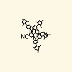 Cc1cc(C)c(-c2ccc3c(c2)c2cc(-c4c(C)cc(C)cc4C)ccc2n3-c2cc(C#N)cc(-n3c4ccc(-c5c(C)cc(C)cc5C)cc4c4cc(-c5c(C)cc(C)cc5C)ccc43)c2-c2cccc(C#N)c2)c(C)c1